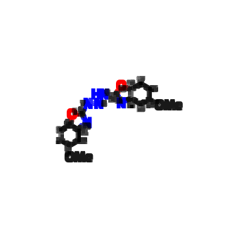 COc1ccc2oc(N=NNc3nc4cc(OC)ccc4o3)nc2c1